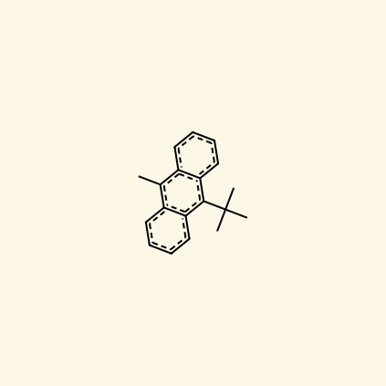 Cc1c2ccccc2c(C(C)(C)C)c2ccccc12